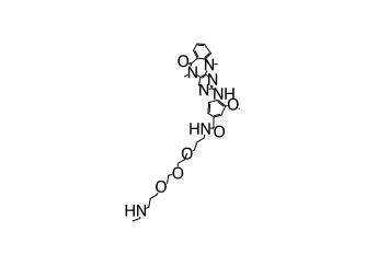 CCNCCCOCCOCCOCCCNC(=O)c1ccc(Nc2ncc3c(n2)N(C)c2ccccc2C(=O)N3C)c(OC)c1